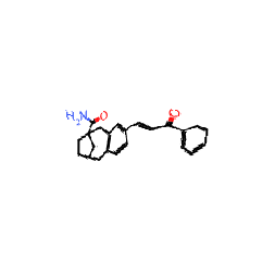 NC(=O)C12[CH]C(CC1)Cc1ccc(C=CC(=O)c3ccccc3)cc1C2